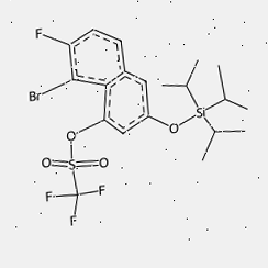 CC(C)[Si](Oc1cc(OS(=O)(=O)C(F)(F)F)c2c(Br)c(F)ccc2c1)(C(C)C)C(C)C